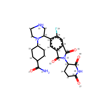 NC(=O)C1CCC(N2CCNCC2c2cc3c(cc2F)C(=O)N(C2CCC(=O)NC2=O)C3=O)CC1